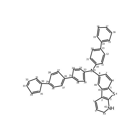 C1=Cc2c(sc3ccc(N(c4ccc(-c5ccccc5)cc4)c4ccc(-c5ccc(-c6ccccc6)cc5)cc4)cc23)NC1